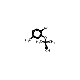 C#CC(C)(C)Oc1cc(C)ccc1C(C)=O